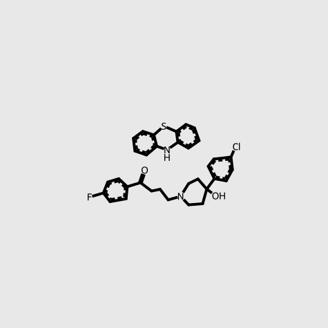 O=C(CCCN1CCC(O)(c2ccc(Cl)cc2)CC1)c1ccc(F)cc1.c1ccc2c(c1)Nc1ccccc1S2